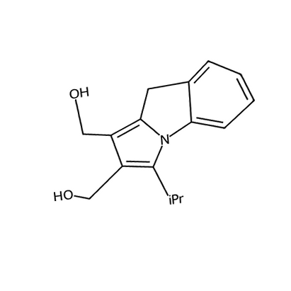 CC(C)c1c(CO)c(CO)c2n1-c1ccccc1C2